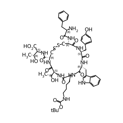 C[C@@H](O)[C@H](NC(=O)[C@@H]1CSSC[C@H](NC(=O)[C@H](N)Cc2ccccc2)C(=O)N[C@@H](Cc2ccc(O)cc2)C(=O)N[C@H](Cc2c[nH]c3ccccc23)C(=O)N[C@@H](CCCCNC(=O)OC(C)(C)C)C(=O)N[C@@H]([C@@H](C)O)C(=O)N1)C(=O)O